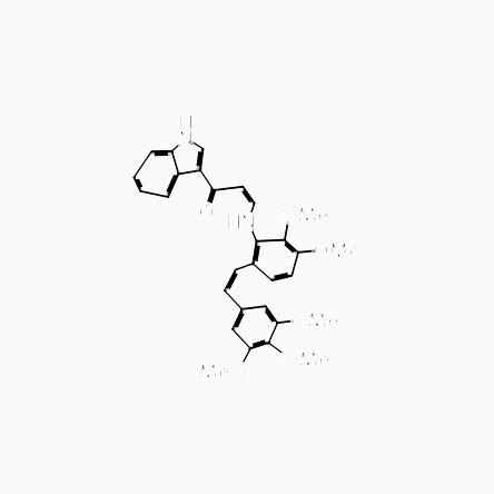 COc1cc(/C=C\c2ccc(OC)c(OC)c2N/C=C\C(=O)c2c[nH]c3ccccc23)cc(OC)c1OC